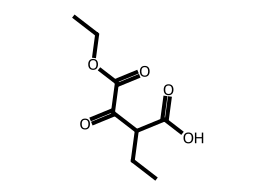 CCOC(=O)C(=O)C(CC)C(=O)O